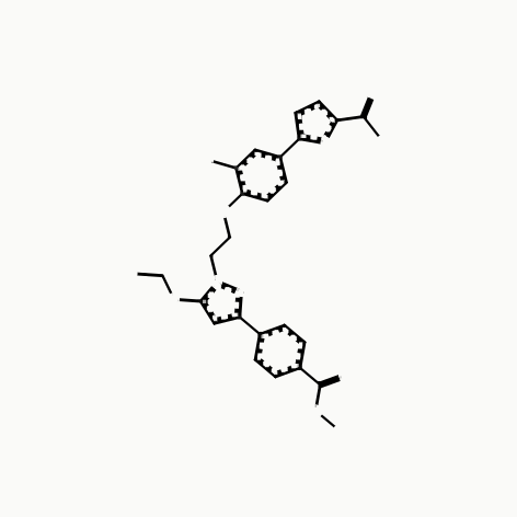 CCOc1cc(-c2ccc(C(=O)OC)cc2)nn1CCOc1ccc(-c2ccc(C(C)=O)s2)cc1Cl